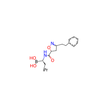 CC(C)C[C@H](NC(=O)C1CC(CCc2ccccc2)=NO1)B(O)O